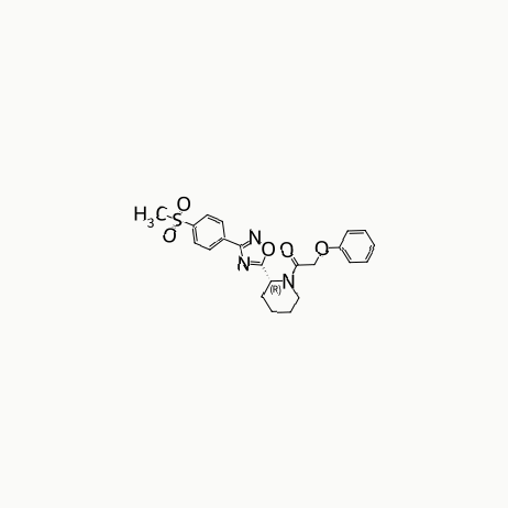 CS(=O)(=O)c1ccc(-c2noc([C@H]3CCCCN3C(=O)COc3ccccc3)n2)cc1